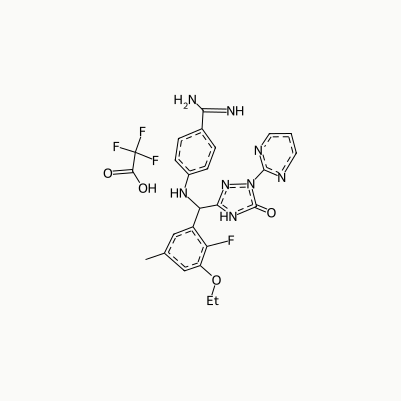 CCOc1cc(C)cc(C(Nc2ccc(C(=N)N)cc2)c2nn(-c3ncccn3)c(=O)[nH]2)c1F.O=C(O)C(F)(F)F